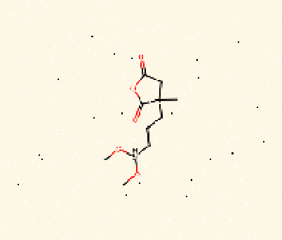 CO[SiH](CCCC1(C)CC(=O)OC1=O)OC